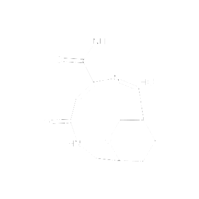 Cl.NC(=O)C1=CC(=O)NCC2CCC(C=N1)CO2